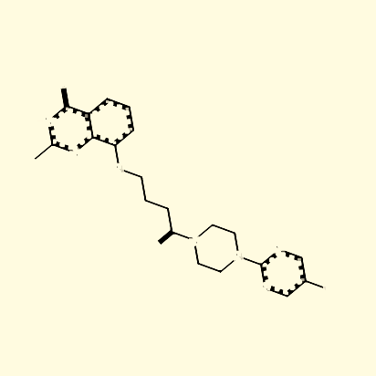 Cc1nc2c(NCCCC(=O)N3CCN(c4ncc(C(F)(F)F)cn4)CC3)cccc2c(=O)[nH]1